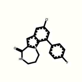 O=C1NCCCn2c1cc1cc(Cl)cc(-c3ccc(F)cc3)c12